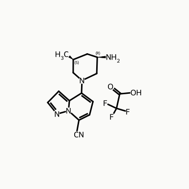 C[C@H]1C[C@@H](N)CN(c2ccc(C#N)n3nccc23)C1.O=C(O)C(F)(F)F